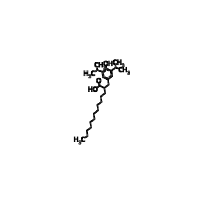 CCCCCCCCCCCCC(Cc1cc(C(C)C)c(O)c(C(C)C)c1)C(=O)O